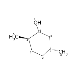 C[C@@H]1CC[C@@H](C)C(O)C1